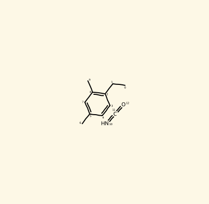 CCc1ccc(C)cc1C.N=C=O